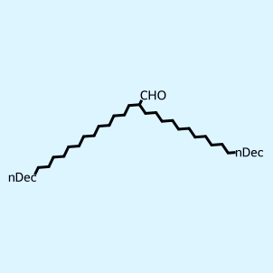 CCCCCCCCCCCCCCCCCCCCCCCC(C=O)CCCCCCCCCCCCCCCCCCCCC